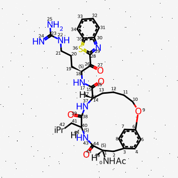 CC(=O)N[C@H]1Cc2ccc(cc2)OCCCC[C@@H](C(=O)N[C@@H](CCCNC(=N)N)C(=O)c2nc3ccccc3s2)NC(=O)[C@H](CC(C)C)NC1=O